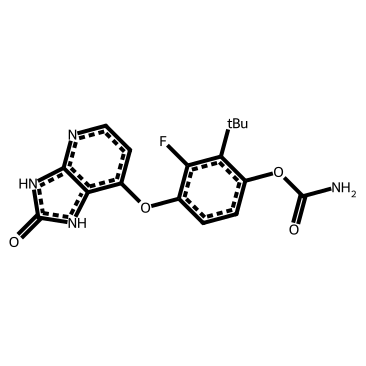 CC(C)(C)c1c(OC(N)=O)ccc(Oc2ccnc3[nH]c(=O)[nH]c23)c1F